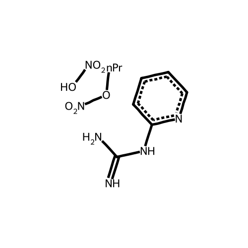 CCCO[N+](=O)[O-].N=C(N)Nc1ccccn1.O=[N+]([O-])O